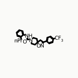 CCCc1ccccc1NC(=O)N1CCC2(CC1)CC(c1ccc(C(F)(F)F)cc1)=NO2